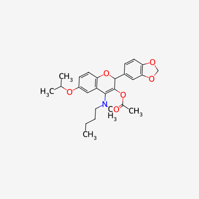 CCCCN(C)C1=C(OC(C)=O)C(c2ccc3c(c2)OCO3)Oc2ccc(OC(C)C)cc21